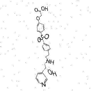 O=C(O)COc1ccc(S(=O)(=O)c2ccc(CCNC[C@H](O)c3cccnc3)cc2)cc1